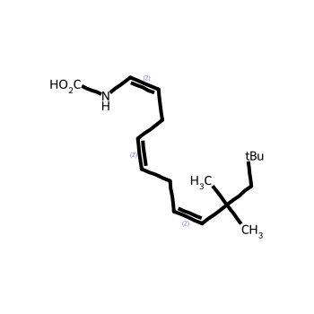 CC(C)(C)CC(C)(C)/C=C\C/C=C\C/C=C\NC(=O)O